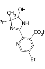 CCc1cnc(C2=NC(C)(C(C)C)C(O)N2)c(C(=O)O)c1